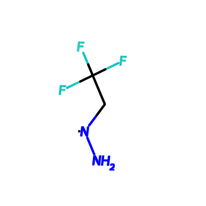 N[N]CC(F)(F)F